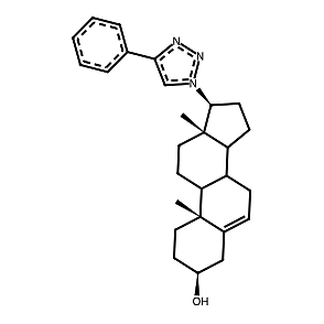 C[C@]12CC[C@H](O)CC1=CCC1C2CC[C@@]2(C)C1CC[C@@H]2n1cc(-c2ccccc2)nn1